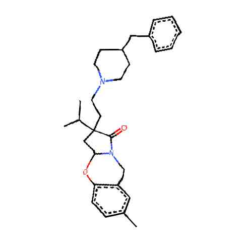 Cc1ccc2c(c1)CN1C(=O)C(CCN3CCC(Cc4ccccc4)CC3)(C(C)C)CC1O2